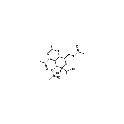 CC(=O)OC[C@H]1O[C@](O)(C(C)O)[C@H](OC(C)=O)[C@@H](OC(C)=O)[C@@H]1OC(C)=O